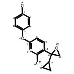 FC(F)(F)c1nc(Oc2ccc(Cl)cc2)ccc1C1(C2CC2)CO1